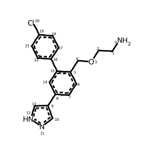 NCCOCc1ccc(-c2cn[nH]c2)cc1-c1ccc(Cl)cc1